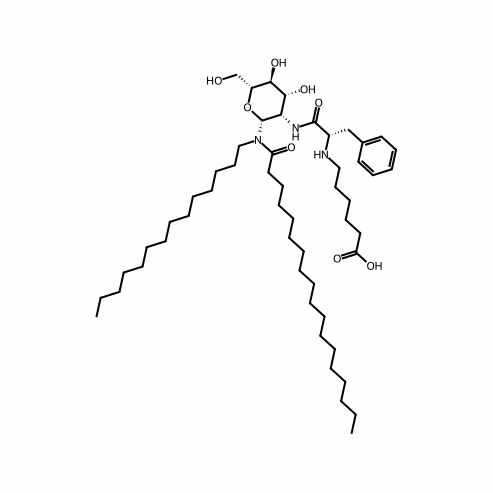 CCCCCCCCCCCCCCCCCC(=O)N(CCCCCCCCCCCCCC)[C@@H]1O[C@H](CO)[C@@H](O)[C@H](O)[C@@H]1NC(=O)[C@H](Cc1ccccc1)NCCCCCC(=O)O